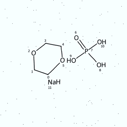 C1COCCO1.O=P(O)(O)O.[NaH]